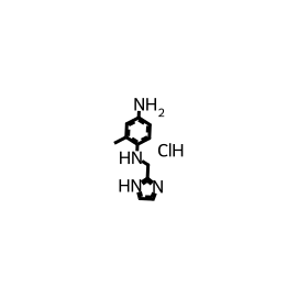 Cc1cc(N)ccc1NCc1ncc[nH]1.Cl